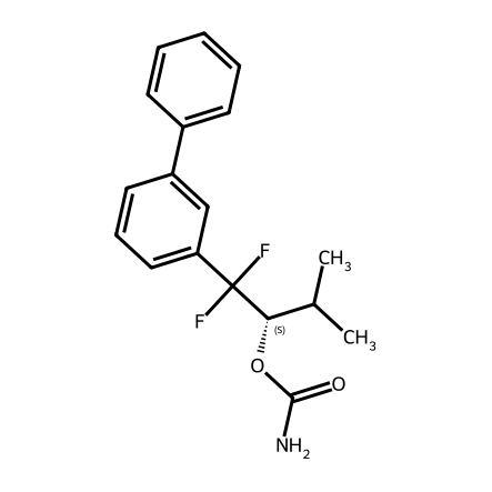 CC(C)[C@H](OC(N)=O)C(F)(F)c1cccc(-c2ccccc2)c1